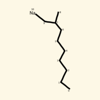 CCCCCCCC(C)[CH2][Na]